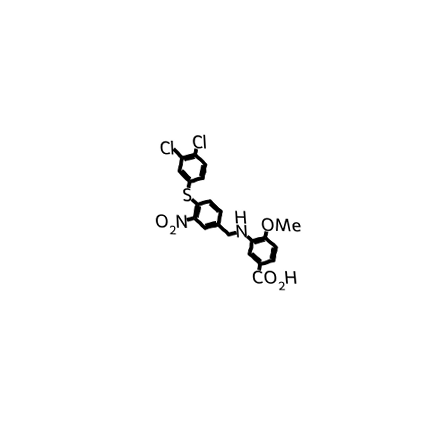 COc1ccc(C(=O)O)cc1NCc1ccc(Sc2ccc(Cl)c(Cl)c2)c([N+](=O)[O-])c1